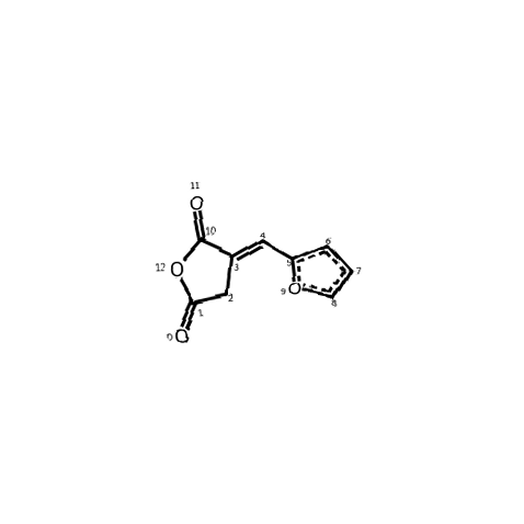 O=C1CC(=Cc2ccco2)C(=O)O1